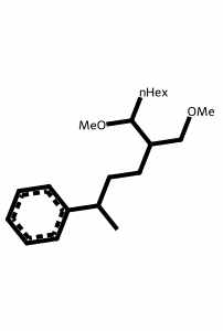 CCCCCCC(OC)C(CCC(C)c1ccccc1)COC